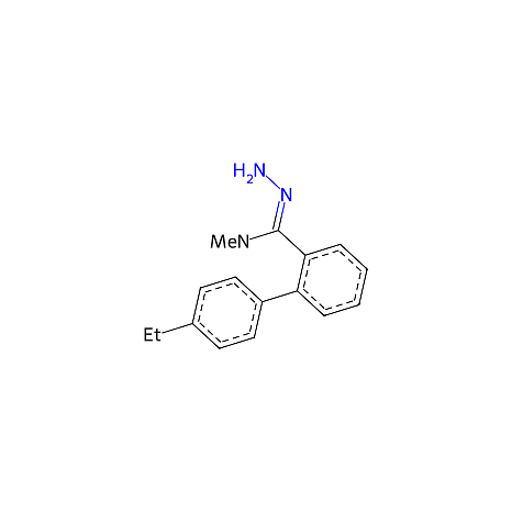 CCc1ccc(-c2ccccc2/C(=N/N)NC)cc1